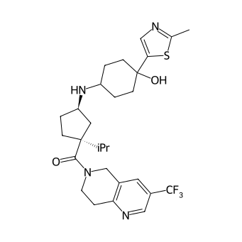 Cc1ncc(C2(O)CCC(N[C@@H]3CC[C@@](C(=O)N4CCc5ncc(C(F)(F)F)cc5C4)(C(C)C)C3)CC2)s1